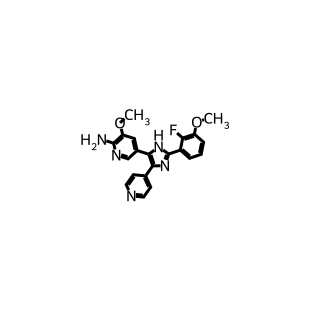 COc1cc(-c2[nH]c(-c3cccc(OC)c3F)nc2-c2ccncc2)cnc1N